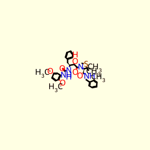 COc1ccc(OC)c(NC(=O)N[C@@H](Cc2ccccc2)[C@H](O)C(=O)N2CSC(C)(C)[C@H]2C(=O)NCc2ccccc2C)c1